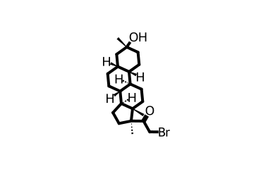 C[C@@]1(O)CC[C@H]2[C@H](CC[C@@H]3[C@@H]2CC[C@@]2(C)[C@H]3CC[C@]2(C)C(=O)CBr)C1